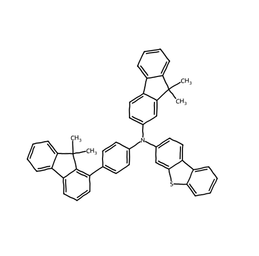 CC1(C)c2ccccc2-c2ccc(N(c3ccc(-c4cccc5c4C(C)(C)c4ccccc4-5)cc3)c3ccc4c(c3)sc3ccccc34)cc21